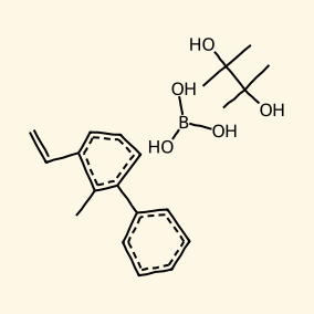 C=Cc1cccc(-c2ccccc2)c1C.CC(C)(O)C(C)(C)O.OB(O)O